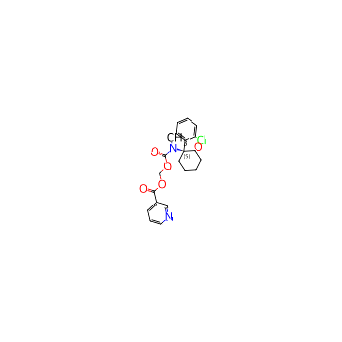 CN(C(=O)OCOC(=O)c1cccnc1)[C@]1(c2ccccc2Cl)CCCCC1=O